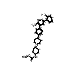 CC(C)(C)OC(=O)NC1CCC(N2CCC(c3ccc(-c4cc(-c5ccccc5O)nnc4N)cc3)CC2)CC1